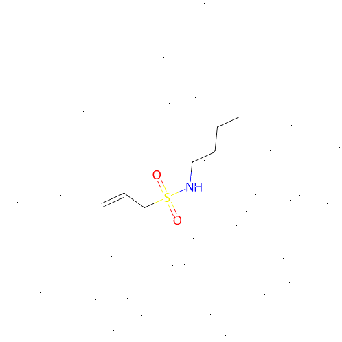 C=CCS(=O)(=O)NCCCC